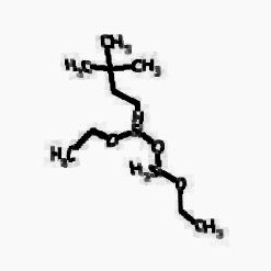 CCO[SiH2]O[SiH](CCC(C)(C)C)OCC